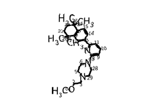 COCCN1CCN(c2cccc(-c3ccc4c(c3)C(C)(C)CCC4(C)C)n2)CC1